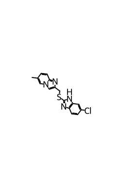 Cc1ccc2nc(CSc3nc4ccc(Cl)cc4[nH]3)cn2c1